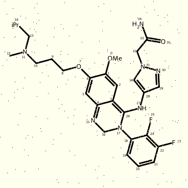 COc1cc2c(cc1OCCCN(C)CC(C)C)=NCN(c1cccc(F)c1F)C=2Nc1cnn(CC(N)=O)c1